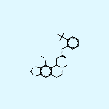 COc1c2c(cc3c1C(CC(=O)Cc1ccccc1C(F)(F)F)N(C)CC3)OCO2